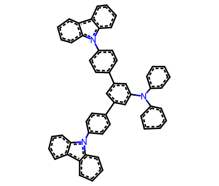 c1ccc(N(c2ccccc2)c2cc(-c3ccc(-n4c5ccccc5c5ccccc54)cc3)cc(-c3ccc(-n4c5ccccc5c5ccccc54)cc3)c2)cc1